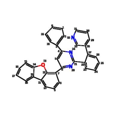 c1ccc(-c2cc(-c3cccc4c3oc3ccccc34)nc(-c3ccccc3-c3cccnc3)n2)cc1